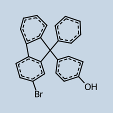 Oc1ccc(C2(c3ccccc3)c3ccccc3-c3ccc(Br)cc32)cc1